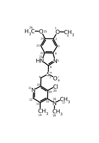 COc1cc2nc([S+]([O-])Cc3ncc(C)c(N(C)C)c3Cl)[nH]c2cc1OC